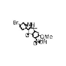 COc1cc2c(cc1[NH+]([O-])O)C(=O)c1c([nH]c3cc(Br)ccc13)C2(C)C